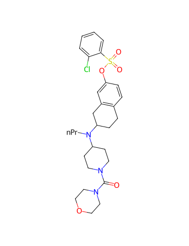 CCCN(C1CCN(C(=O)N2CCOCC2)CC1)C1CCc2ccc(OS(=O)(=O)c3ccccc3Cl)cc2C1